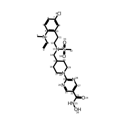 C=CN(C)c1ccc(Cl)cc1CCN(CC1CCN(c2ncc(C(=O)NO)cn2)CC1)S(C)(=O)=O